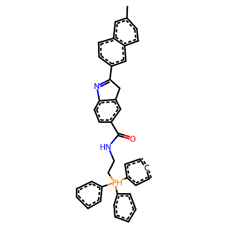 Cc1ccc2cc(C3=Nc4ccc(C(=O)NCC[PH](c5ccccc5)(c5ccccc5)c5ccccc5)cc4C3)ccc2c1